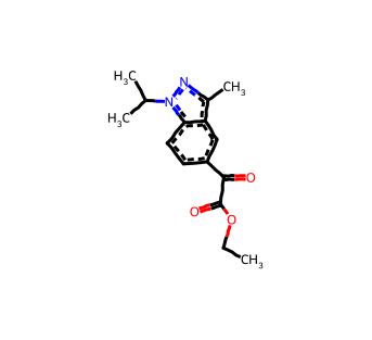 CCOC(=O)C(=O)c1ccc2c(c1)c(C)nn2C(C)C